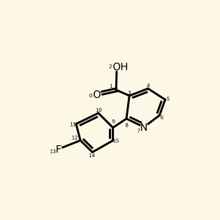 O=C(O)c1cccnc1-c1ccc(F)cc1